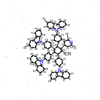 Cc1ccc2c(c1)c1ccccc1n2-c1ccc(-c2c(C#N)c(-c3cc(C)nc(C)c3)c(-c3ccc(-n4c5ccccc5c5cc(C)ccc54)cc3)c(-c3ccc(-n4c5ccccc5c5cc(C)ccc54)cc3)c2-c2ccc(-n3c4ccccc4c4ccccc43)cc2)cc1